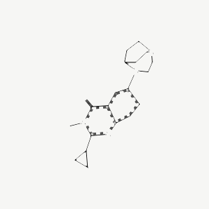 Cn1c(C2CC2)nc2ccc(N3CCN4CCC3CC4)cc2c1=O